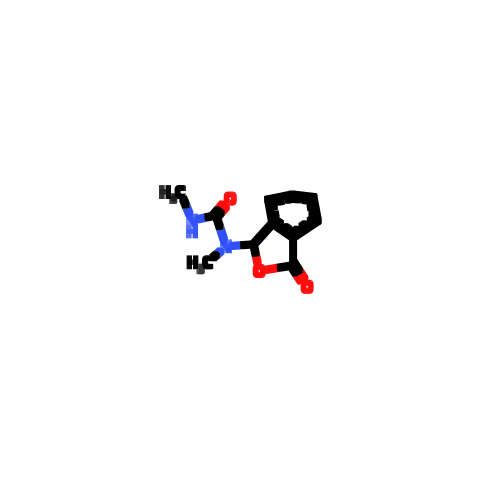 CNC(=O)N(C)C1OC(=O)c2ccccc21